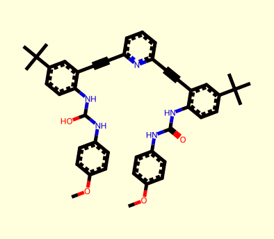 COc1ccc(NC(=O)Nc2ccc(C(C)(C)C)cc2C#Cc2cccc(C#Cc3cc(C(C)(C)C)ccc3NC(O)Nc3ccc(OC)cc3)n2)cc1